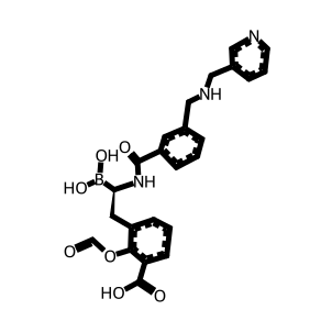 O=COc1c(C[C@H](NC(=O)c2cccc(CNCc3cccnc3)c2)B(O)O)cccc1C(=O)O